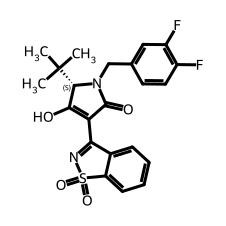 CC(C)(C)[C@H]1C(O)=C(C2=NS(=O)(=O)c3ccccc32)C(=O)N1Cc1ccc(F)c(F)c1